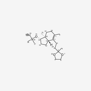 CC1=C(CCC2(C)OCCO2)[C@@H]2CC[C@H](O[Si](C)(C)C(C)(C)C)[C@@]2(C)CC1